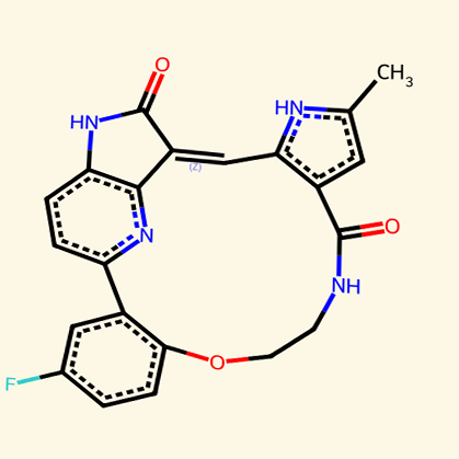 Cc1cc2c([nH]1)/C=C1\C(=O)Nc3ccc(nc31)-c1cc(F)ccc1OCCNC2=O